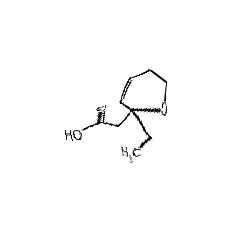 CCC1(CC(=O)O)C=CCCO1